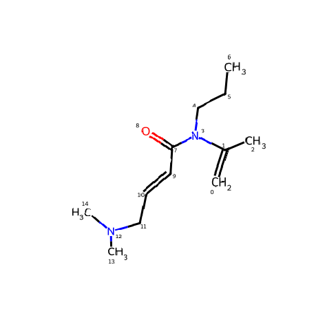 C=C(C)N(CCC)C(=O)/C=C/CN(C)C